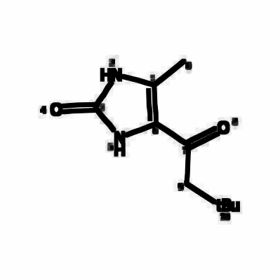 Cc1[nH]c(=O)[nH]c1C(=O)CC(C)(C)C